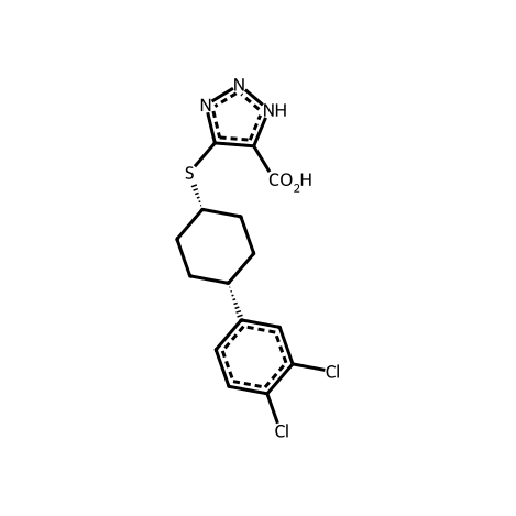 O=C(O)c1[nH]nnc1S[C@H]1CC[C@@H](c2ccc(Cl)c(Cl)c2)CC1